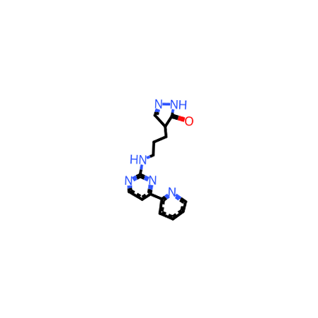 O=C1NN=CC1CCCNc1nccc(-c2ccccn2)n1